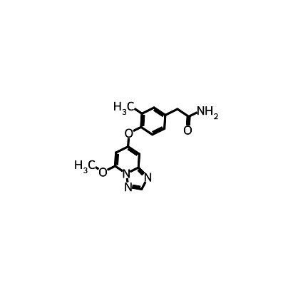 COc1cc(Oc2ccc(CC(N)=O)cc2C)cc2ncnn12